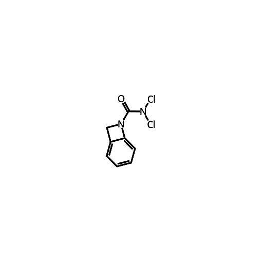 O=C(N(Cl)Cl)N1Cc2ccccc21